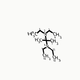 CCN(CC)C(C)(C)N(CC)CC